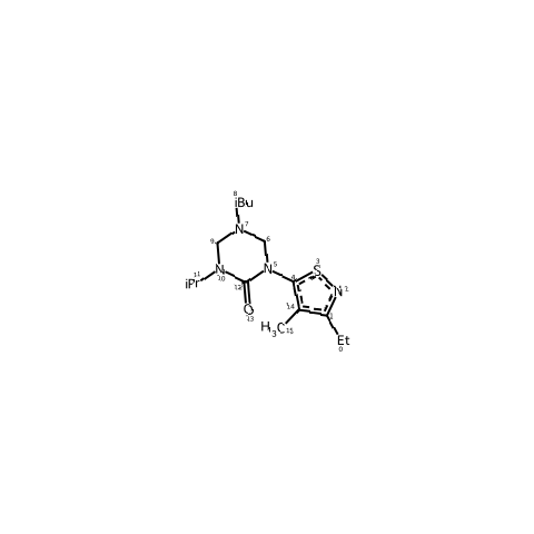 CCc1nsc(N2CN(C(C)CC)CN(C(C)C)C2=O)c1C